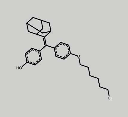 Oc1ccc(C(=C2C3CC4CC(C3)CC2C4)c2ccc(OCCCCCCCl)cc2)cc1